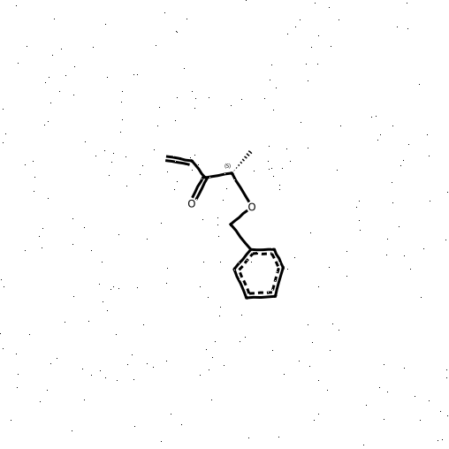 C=CC(=O)[C@H](C)OCc1ccccc1